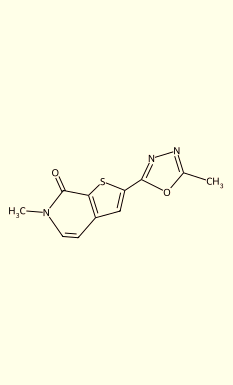 Cc1nnc(-c2cc3ccn(C)c(=O)c3s2)o1